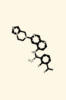 C[C@@H](Nc1ccnc2cnc(N3CCn4cncc4C3)cc12)c1cccc(C(F)F)c1F